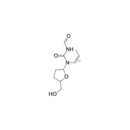 C/C=C\N(C(=O)NC=O)C1CCC(CO)O1